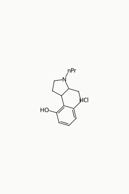 CCCN1CCC2c3c(O)cccc3CCC21.Cl